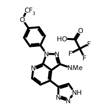 CNc1nn(-c2ccc(OC(F)(F)F)cc2)c2nccc(-c3c[nH]nn3)c12.O=C(O)C(F)(F)F